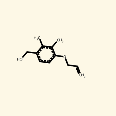 C=CCOc1ccc(CO)c(C)c1C